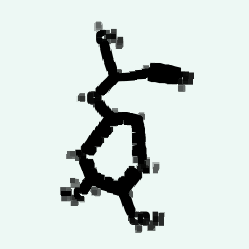 C#CC(C)Oc1cnc(C(=O)O)c(C)n1